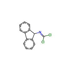 ClC(Cl)=NC1c2ccccc2-c2ccccc21